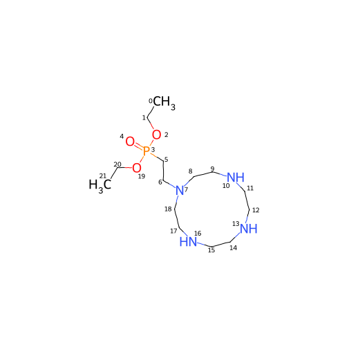 CCOP(=O)(CCN1CCNCCNCCNCC1)OCC